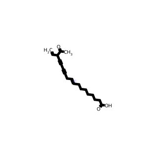 C=CC(C#CC#CC/C=C/CCCCCCCC(=O)O)C(C)=O